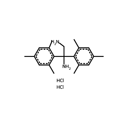 Cc1cc(C)c(C(N)(CN)c2c(C)cc(C)cc2C)c(C)c1.Cl.Cl